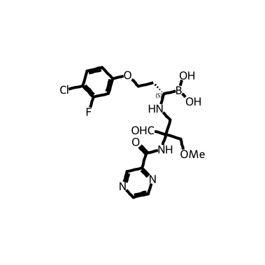 COCC(C=O)(CN[C@H](CCOc1ccc(Cl)c(F)c1)B(O)O)NC(=O)c1cnccn1